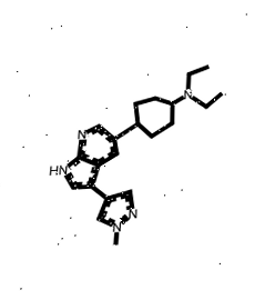 CCN(CC)C1CCC(c2cnc3[nH]cc(-c4cnn(C)c4)c3c2)CC1